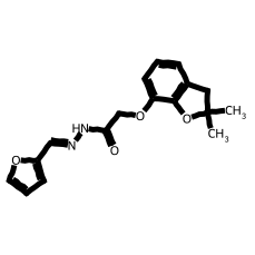 CC1(C)Cc2cccc(OCC(=O)N/N=C/c3ccco3)c2O1